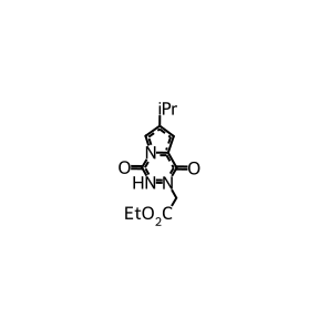 CCOC(=O)Cn1[nH]c(=O)n2cc(C(C)C)cc2c1=O